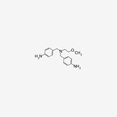 COCCN(Cc1ccc(N)cc1)Cc1ccc(N)cc1